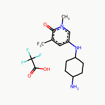 Cn1cc(NC2CCC(N)CC2)cc(C(F)(F)F)c1=O.O=C(O)C(F)(F)F